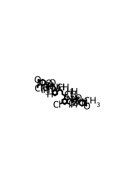 CC(C)c1cc(Cl)cc(C(C)CCC(C)c2cccc(C(C)C)c2NC(=O)NS(=O)(=O)C2CCC(=O)N(CC(F)(F)F)C2)c1NC(=O)NS(=O)(=O)C1CCC(=O)N(C)C1